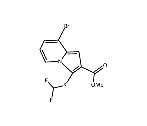 COC(=O)c1cc2c(Br)cccn2c1SC(F)F